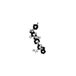 C[C@H](CC(=O)N1CCC(O)(Cn2cnc3c(cnn3-c3ccc(F)cc3)c2=O)CC1)n1ncc2c1CCC2